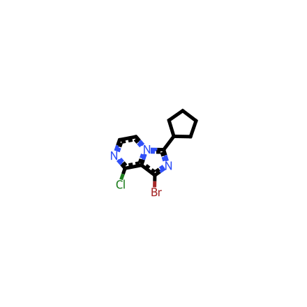 Clc1nccn2c(C3CCCC3)nc(Br)c12